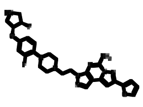 Nc1nc2c(cnn2CCN2CCN(c3ccc(O[C@H]4CNC[C@H]4F)cc3F)CC2)c2cc(-c3ccco3)nn12